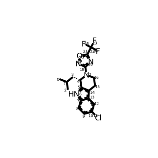 CC(C)C[C@H]1c2[nH]c3ccc(Cl)cc3c2CCN1c1noc(C(F)(F)F)n1